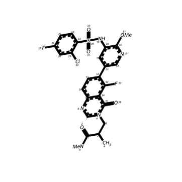 CNC(=O)C(C)Cn1cnc2ccc(-c3cnc(OC)c(NS(=O)(=O)c4ccc(F)cc4Cl)c3)c(F)c2c1=O